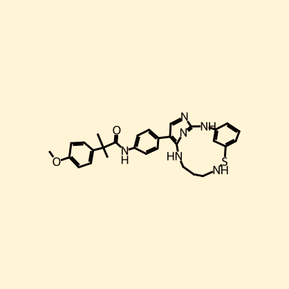 COc1ccc(C(C)(C)C(=O)Nc2ccc(-c3cnc4nc3NCCCNSc3cccc(c3)N4)cc2)cc1